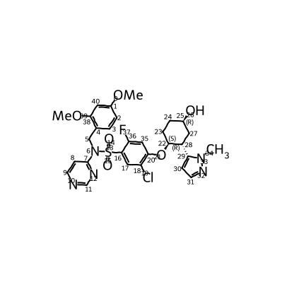 COc1ccc(CN(c2ccncn2)S(=O)(=O)c2cc(Cl)c(O[C@H]3CC[C@@H](O)C[C@@H]3c3ccnn3C)cc2F)c(OC)c1